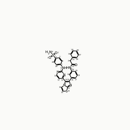 NS(=O)(=O)c1ccc(Nc2nccc(-c3c(-c4cccc(NC(=O)Cc5ccccc5)c4)nc4sccn34)n2)cc1